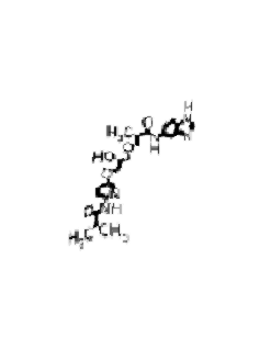 CC(C)C(=O)Nc1ccc(OC[C@H](O)COCC(C)C(=O)Nc2ccc3[nH]cnc3c2)cn1